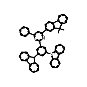 CC1(C)c2ccccc2-c2ccc(-c3cc(-c4ccccc4)nc(-c4cc(C5c6ccccc6-c6ccccc65)cc(-n5c6ccccc6c6ccccc65)c4)n3)cc21